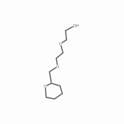 OCCOCCOCC1CCCCO1